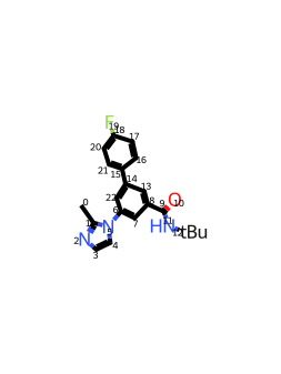 Cc1nccn1-c1cc(C(=O)NC(C)(C)C)cc(-c2ccc(F)cc2)c1